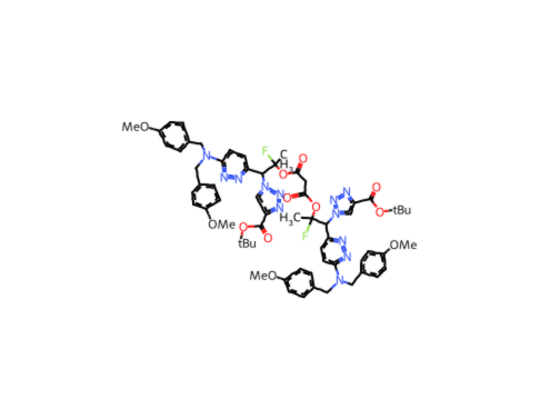 COc1ccc(CN(Cc2ccc(OC)cc2)c2ccc(C(n3cc(C(=O)OC(C)(C)C)nn3)C(C)(F)OC(=O)CC(=O)OC(C)(F)C(c3ccc(N(Cc4ccc(OC)cc4)Cc4ccc(OC)cc4)nn3)n3cc(C(=O)OC(C)(C)C)nn3)nn2)cc1